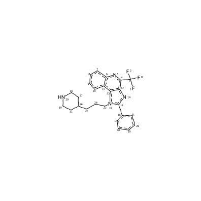 FC(F)(F)c1nc2ccccc2c2c1nc(-c1ccccc1)n2CCCC1CCNCC1